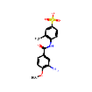 COc1ccc(C(=O)Nc2ccc(S(=O)(=O)O)cc2C)cc1N